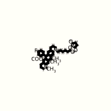 CN1CCCc2cc3c(cc21)C(C)(C)c1cc2c(cc1=C3c1ccc(F)cc1C(=O)[O-])CCC[N+]=2CCCCCC(=O)ON1C(=O)CCC1=O